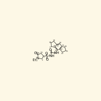 CCN1CC(S(=O)(=O)NC(=O)Nc2c3c(cc4c2CCC4)CCC3)CC1=O